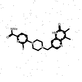 CNC(=O)c1ccc(N2CCN(Cc3cnc4c(C)c(C)c(=O)[nH]c4c3)CC2)c(F)n1